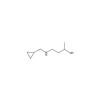 CCCC(C)CCNCC1CC1